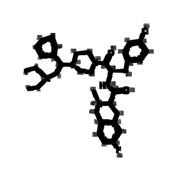 CCN(CC)CC(c1ccccc1)N1CCN(C(=O)[C@@H](Cc2ccc(Cl)cc2)NC(=O)C2Cc3cc(F)ccc3CN2C)CC1